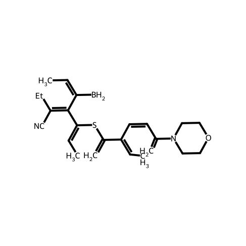 BC(=C/C)/C(C(=C/C)/SC(=C)C(/C=C\C(=C)N1CCOCC1)=C/C)=C(/C#N)CC